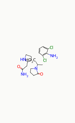 CC(C(=O)O)N1CCCC1=O.NC(=O)CC1CCCN1.Nc1c(Cl)cccc1Cl